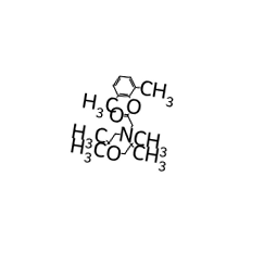 Cc1cccc(C)c1OC(=O)CN1CC(C)(C)OCC1(C)C